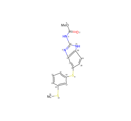 COC(=O)Nc1nc2cc(Sc3cccc(SC#N)c3)ccc2[nH]1